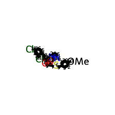 COc1ccc(CSCC2COC(CCc3ccc(Cl)cc3Cl)(Cn3ccnc3)O2)cc1